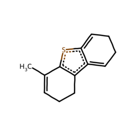 CC1=CCCc2c1sc1c2=CCCC=1